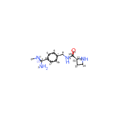 C/N=C(\N)c1ccc(CNC(=O)[C@@H]2CCN2)cc1